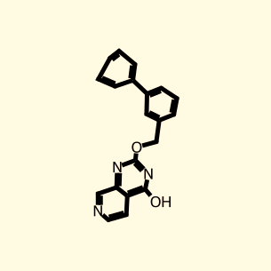 Oc1nc(OCc2cccc(-c3ccccc3)c2)nc2cnccc12